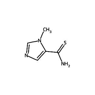 Cn1cncc1C(N)=S